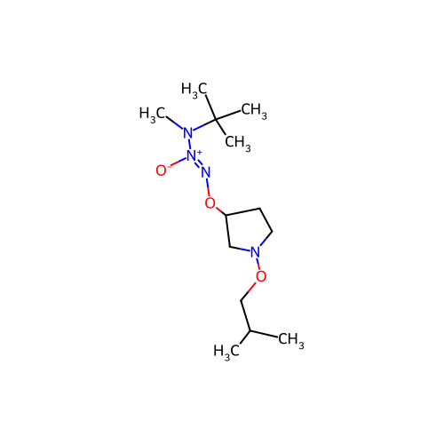 CC(C)CON1CCC(ON=[N+]([O-])N(C)C(C)(C)C)C1